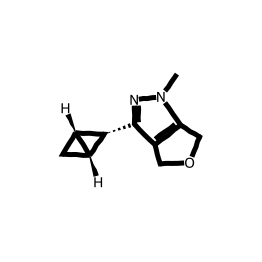 Cn1nc([C@@H]2[C@@H]3C[C@@H]32)c2c1COC2